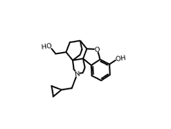 OCC1CC2CCC13CN(CC1CC1)CCC31c3cccc(O)c3OC21